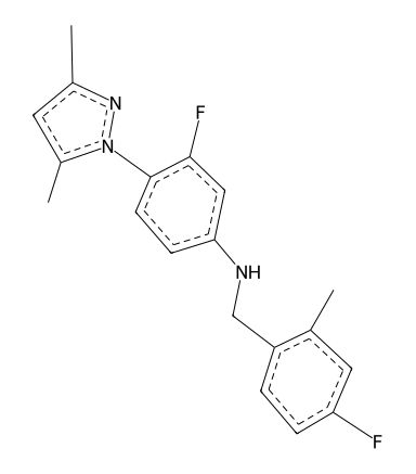 Cc1cc(C)n(-c2ccc(NCc3ccc(F)cc3C)cc2F)n1